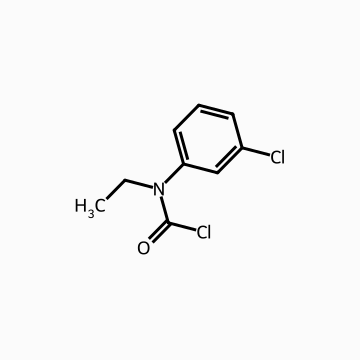 CCN(C(=O)Cl)c1cccc(Cl)c1